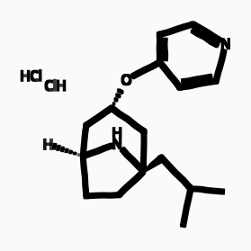 C[C](C)C[C@]12CC[C@@H](C[C@H](Oc3ccncc3)C1)N2.Cl.Cl